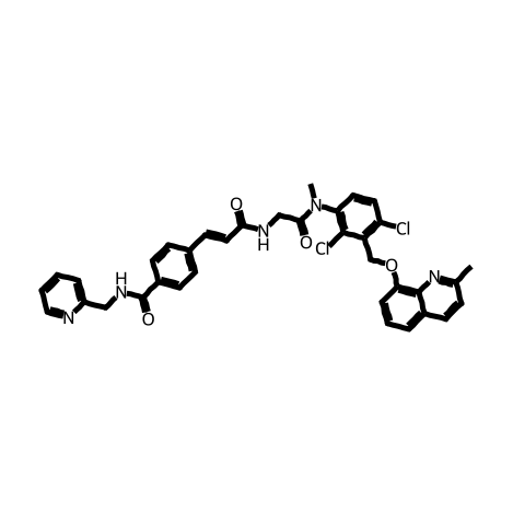 Cc1ccc2cccc(OCc3c(Cl)ccc(N(C)C(=O)CNC(=O)C=Cc4ccc(C(=O)NCc5ccccn5)cc4)c3Cl)c2n1